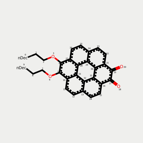 CCCCCCCCCCCCOc1c(OCCCCCCCCCCCC)c2ccc3ccc4c(=O)c(=O)c5ccc6ccc1c1c6c5c4c3c21